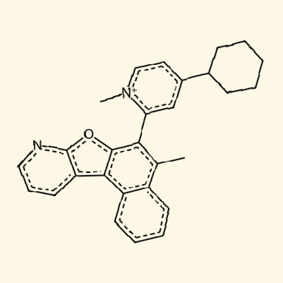 Cc1c(-c2cc(C3CCCCC3)cc[n+]2C)c2oc3ncccc3c2c2ccccc12